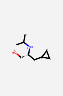 CC(C)N[C@@H](CO)CC1CC1